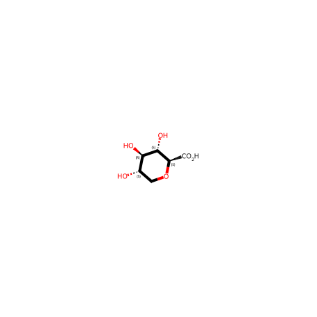 O=C(O)[C@H]1O[CH][C@H](O)[C@@H](O)[C@@H]1O